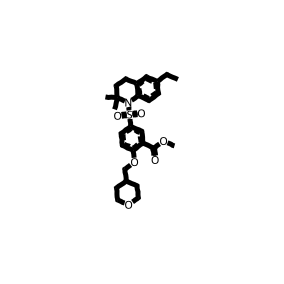 CCc1ccc2c(c1)CCC(C)(C)N2S(=O)(=O)c1ccc(OCC2CCOCC2)c(C(=O)OC)c1